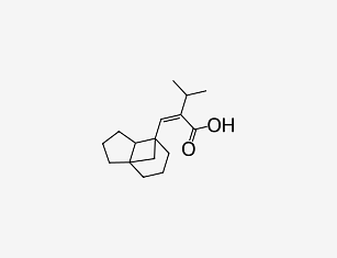 CC(C)C(=CC12CCCC3(CCCC13)C2)C(=O)O